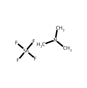 CN(C)C.[F][Sn]([F])([F])[F]